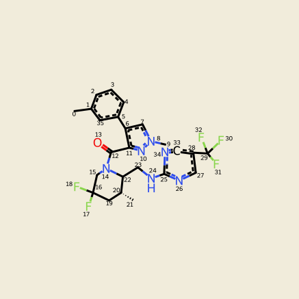 Cc1cccc(-c2cn(C)nc2C(=O)N2CC(F)(F)C[C@@H](C)C2CNc2ncc(C(F)(F)F)cn2)c1